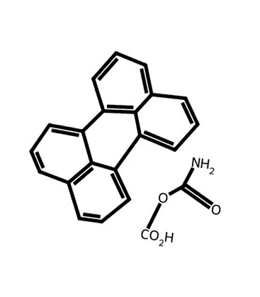 NC(=O)OC(=O)O.c1cc2cccc3c4cccc5cccc(c(c1)c23)c54